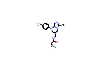 C=CC(=O)NC[C@H]1CN(c2ccc(C(F)(F)F)cc2)c2cnc(C(F)(F)F)n2C1